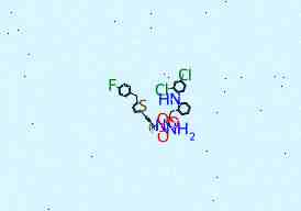 C[C@H](C#Cc1ccc(Cc2ccc(F)cc2)s1)N(OC(=O)Cc1ccccc1Nc1ccc(Cl)cc1Cl)C(N)=O